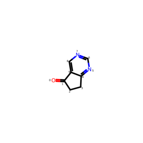 O=C1CCc2ncncc21